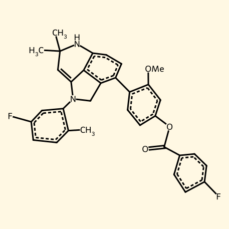 COc1cc(OC(=O)c2ccc(F)cc2)ccc1-c1ccc2c3c1CN(c1cc(F)ccc1C)C3=CC(C)(C)N2